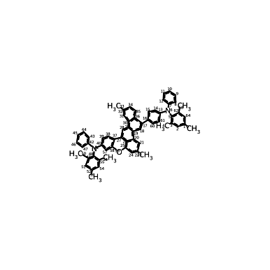 Cc1cc(C)c(N(c2ccccc2)c2ccc(-c3cc4c5cc(C)cc6c5c(cc4c4cc(C)ccc34)-c3ccc(N(c4ccccc4)c4c(C)cc(C)cc4C)cc3O6)cc2)c(C)c1